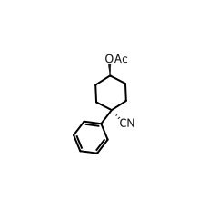 CC(=O)O[C@H]1CC[C@@](C#N)(c2ccccc2)CC1